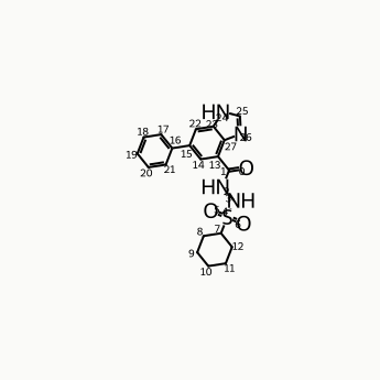 O=C(NNS(=O)(=O)C1CCCCC1)c1cc(-c2ccccc2)cc2[nH]cnc12